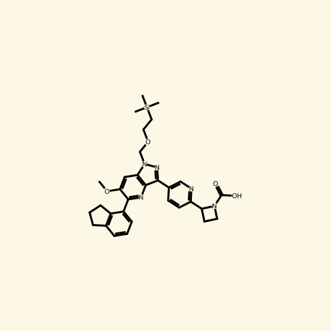 COc1cc2c(nc1-c1cccc3c1CCC3)c(-c1ccc(C3CCN3C(=O)O)nc1)nn2COCC[Si](C)(C)C